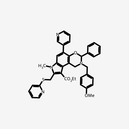 CCOC(=O)c1c(CSc2ccccn2)n(C)c2cc(-c3cccnc3)c3c(c12)CN(Cc1ccc(OC)cc1)C(c1ccccc1)O3